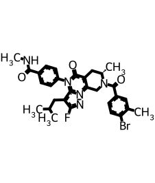 CNC(=O)c1ccc(-n2c(=O)c3c(n4nc(F)c(CC(C)C)c24)CN(C(=O)c2ccc(Br)c(C)c2)[C@@H](C)C3)cc1